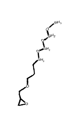 [SiH3]O[SiH2]O[SiH2]O[SiH2]CCCOCC1CO1